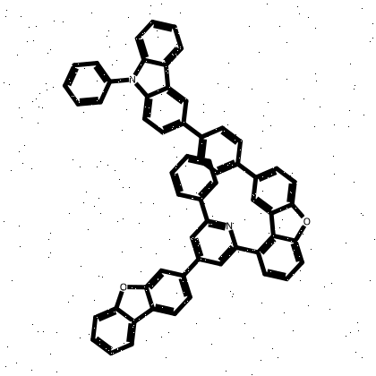 c1ccc(-c2cc(-c3ccc4c(c3)oc3ccccc34)cc(-c3cccc4oc5ccc(-c6ccc(-c7ccc8c(c7)c7ccccc7n8-c7ccccc7)cc6)cc5c34)n2)cc1